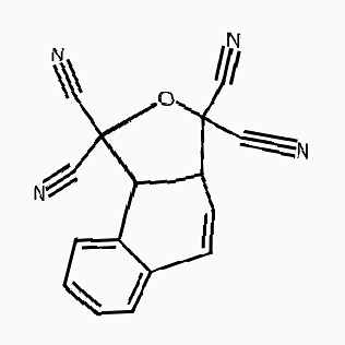 N#CC1(C#N)OC(C#N)(C#N)C2c3ccccc3C=CC21